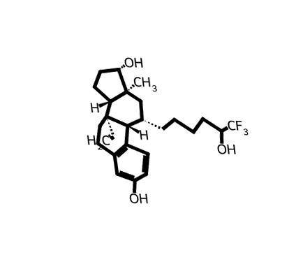 C=C[C@@]12CCc3cc(O)ccc3[C@H]1[C@@H](CCCCC(O)C(F)(F)F)C[C@@]1(C)[C@H]2CC[C@@H]1O